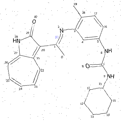 C/C(=N\c1cc(NC(=O)NC2CCCCC2)ccc1C)c1c2cccccc-2[nH]c1=O